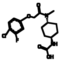 CN(C(=O)COc1ccc(Cl)c(F)c1)[C@H]1CC[C@H](NC(=O)O)CC1